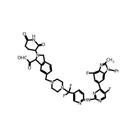 Cc1nc2c(F)cc(-c3nc(Nc4ccc(C(F)(F)N5CCN(Cc6ccc7c(c6)C(C(=O)C=O)N(C6CCC(=O)NC6=O)C7)CC5)cn4)ncc3F)cc2n1C(C)C